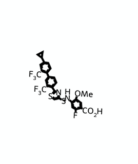 COc1cc(C(=O)O)c(F)cc1NSc1csc(-c2ccc(-c3ccc(C4CC4)cc3C(F)(F)F)cc2C(F)(F)F)n1